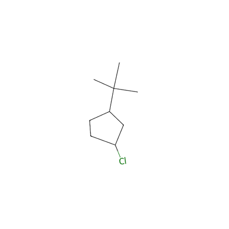 CC(C)(C)C1CCC(Cl)C1